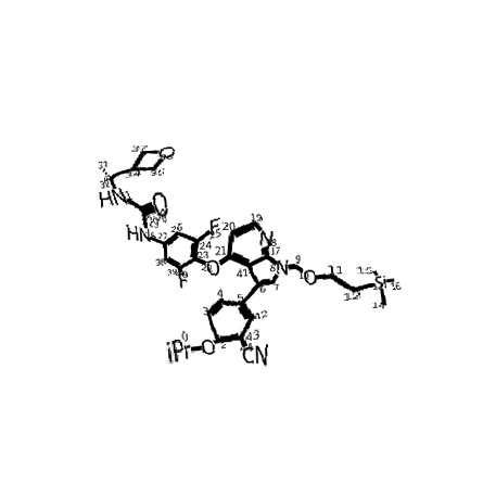 CC(C)Oc1ccc(-c2cn(COCC[Si](C)(C)C)c3nccc(Oc4c(F)cc(NC(=O)N[C@H](C)C5COC5)cc4F)c23)cc1C#N